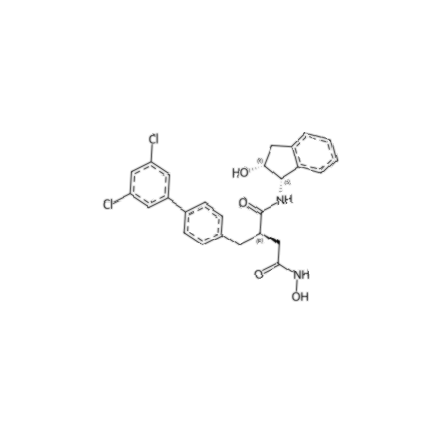 O=C(C[C@@H](Cc1ccc(-c2cc(Cl)cc(Cl)c2)cc1)C(=O)N[C@H]1c2ccccc2C[C@H]1O)NO